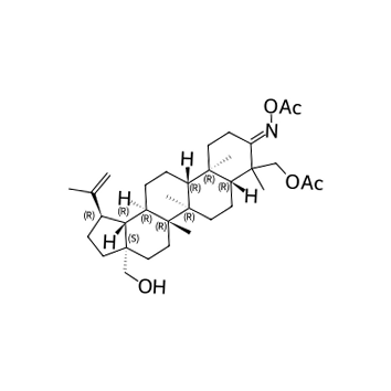 C=C(C)[C@@H]1CC[C@]2(CO)CC[C@]3(C)[C@H](CC[C@@H]4[C@@]5(C)CCC(=NOC(C)=O)C(C)(COC(C)=O)[C@@H]5CC[C@]43C)[C@@H]12